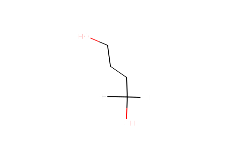 [2H]C([2H])(O)CCCO